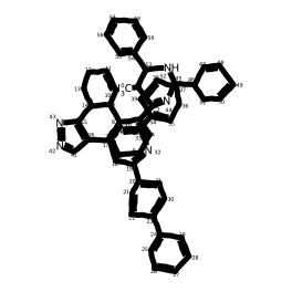 CC1C(C2=CCCC=C2C2C=CCCC2C2=C(c3cc(-c4ccc(-c5ccccc5)cc4)nc(C4=CCCC=C4)n3)C=[N+]=N2)=NC(C2C=CC=CC2)NC1c1ccccc1